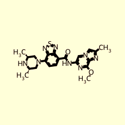 COc1nc(NC(=O)c2ccc(N3C[C@H](C)N[C@@H](C)C3)c3nsnc23)cn2cc(C)nc12